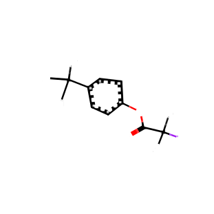 CCC(C)(I)C(=O)Oc1ccc(C(C)(C)OC(C)=O)cc1